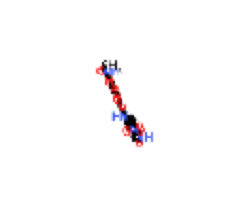 CC(=O)NCCOCCOCCOCCOCCNc1ccc2c(c1)C(=O)N(C1CCC(=O)NC1=O)C2=O